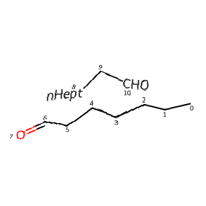 CCCCCCC=O.CCCCCCCCC=O